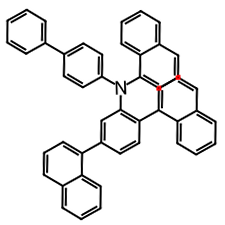 c1ccc(-c2ccc(N(c3cc(-c4cccc5ccccc45)ccc3-c3cccc4ccccc34)c3cccc4ccccc34)cc2)cc1